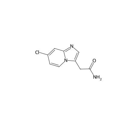 NC(=O)Cc1cnc2cc(Cl)ccn12